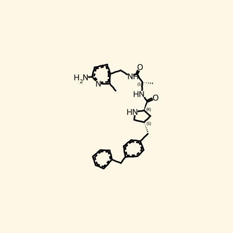 Cc1nc(N)ccc1CNC(=O)[C@H](C)NC(=O)[C@H]1C[C@H](Cc2ccc(Cc3ccccc3)cc2)CN1